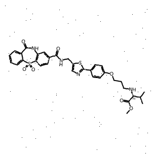 COC(=O)[C@@H](NCCCOc1ccc(-c2ncc(CNC(=O)c3ccc4c(c3)NC(=O)c3ccccc3S4(=O)=O)s2)cc1)C(C)C